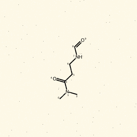 CN(C)C(=O)CCNC=O